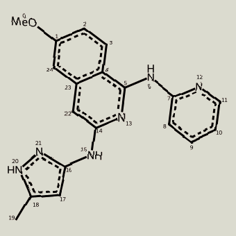 COc1ccc2c(Nc3ccccn3)nc(Nc3cc(C)[nH]n3)cc2c1